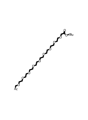 CC(=O)COCCOCCOCCOCCOCCOCCOCCOCCOCC(=O)OC(C)(C)C